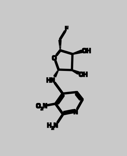 Nc1nccc(N[C@@H]2O[C@H](CF)[C@@H](O)[C@H]2O)c1[N+](=O)[O-]